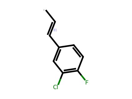 [CH2]/C=C/c1ccc(F)c(Cl)c1